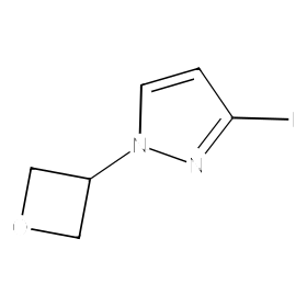 Ic1ccn(C2COC2)n1